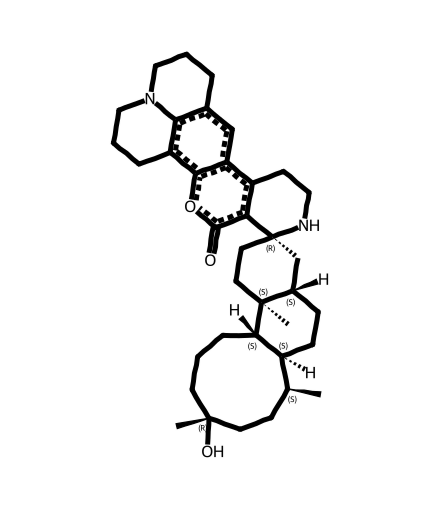 C[C@H]1CC[C@](C)(O)CCC[C@H]2[C@H]1CC[C@H]1C[C@@]3(CC[C@@]12C)NCCc1c3c(=O)oc2c3c4c(cc12)CCCN4CCC3